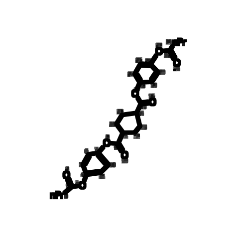 CCCC(=O)Oc1ccc(OC(=O)C2CCC(C(=O)Oc3ccc(OC(=O)CCC)cc3)CC2)cc1